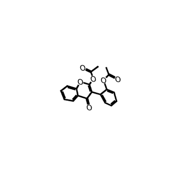 CC(=O)Oc1ccccc1-c1c(OC(C)=O)oc2ccccc2c1=O